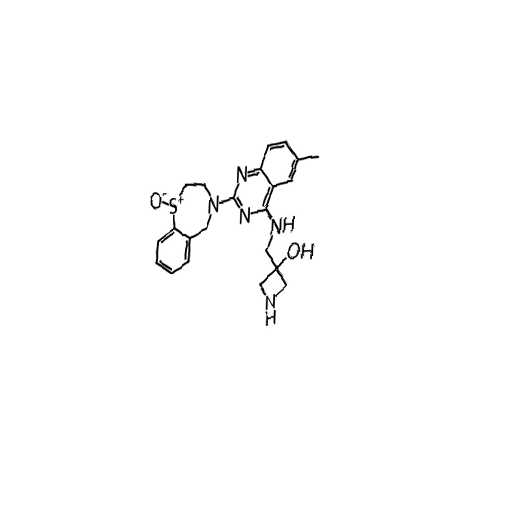 Cc1ccc2nc(N3CC[S+]([O-])c4ccccc4C3)nc(NCC3(O)CNC3)c2c1